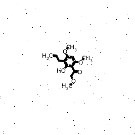 C=CCc1c(OC)cc(OC)c(C(=O)COC)c1O